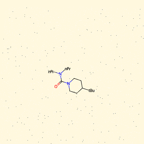 CCCN(CCC)C(=O)N1CCC(C(C)(C)C)CC1